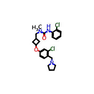 CN(CC1CC(Oc2ccc(CN3CCCC3)c(Cl)c2)C1)C(=O)Nc1ccccc1Cl